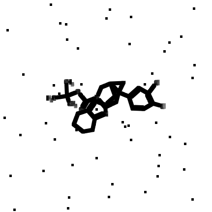 CC(C)(C)OC(=O)N1CCC2(c3ccc(Cl)c(Cl)c3)CC2(Cn2cc3c(n2)CCCC3)C1